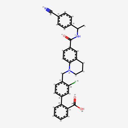 CC(NC(=O)c1ccc2c(c1)CCCN2Cc1ccc(-c2ccccc2C(=O)O)cc1F)c1ccc(C#N)cc1